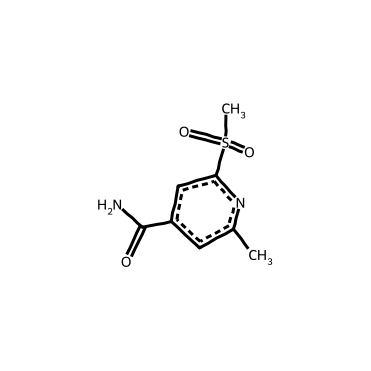 Cc1cc(C(N)=O)cc(S(C)(=O)=O)n1